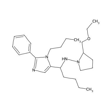 CCCCC(NN1CCCC1COCC)c1cnc(-c2ccccc2)n1CCCC